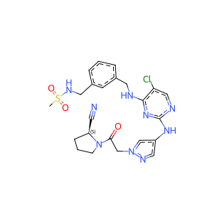 CS(=O)(=O)NCc1cccc(CNc2nc(Nc3cnn(CC(=O)N4CCC[C@H]4C#N)c3)ncc2Cl)c1